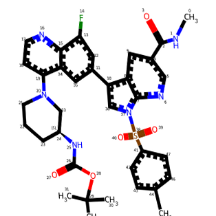 CNC(=O)c1cnc2c(c1)c(-c1cc(F)c3nccc(N4CCC[C@H](NC(=O)OC(C)(C)C)C4)c3c1)cn2S(=O)(=O)c1ccc(C)cc1